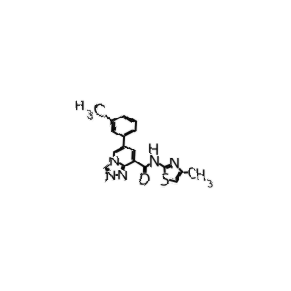 Cc1cccc(-c2cc(C(=O)Nc3nc(C)cs3)c3nncn3c2)c1